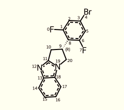 Fc1cc(Br)cc(F)c1[C@H]1Cc2nc3ccccc3n2C1